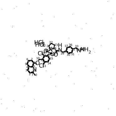 Cc1ccc2cccc(OCc3c(Cl)ccc(S(=O)(=O)N4CCC[C@H]4C(=O)NCc4ccc(C=NN)cc4)c3Cl)c2n1.Cl.Cl